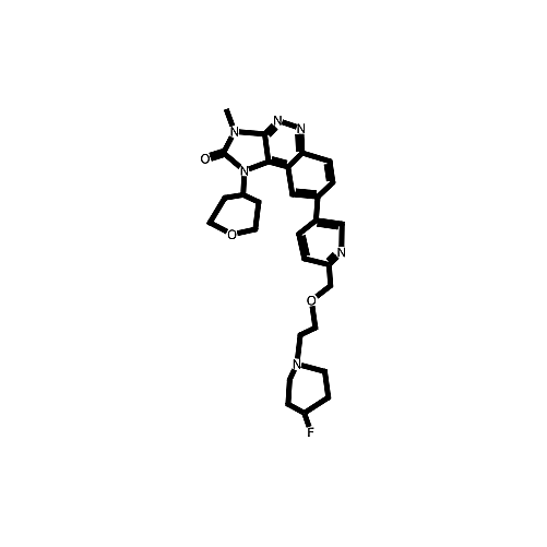 Cn1c(=O)n(C2CCOCC2)c2c3cc(-c4ccc(COCCN5CCC(F)CC5)nc4)ccc3nnc21